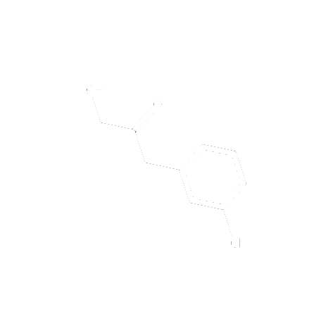 CCC(=O)Cc1cccc(Cl)c1